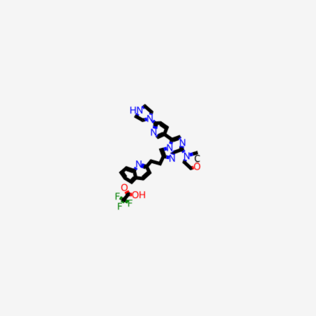 O=C(O)C(F)(F)F.c1ccc2nc(CCc3cn4c(-c5ccc(N6CCNCC6)nc5)cnc(N5CCOCC5)c4n3)ccc2c1